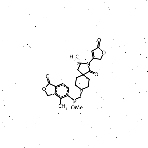 CO[C@@H](CN1CCC2(CC1)C[C@H](C)N(C1=CC(=O)OC1)C2=O)c1ccc2c(c1C)COC2=O